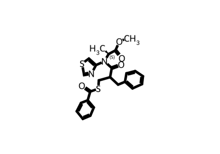 COC(=O)[C@H](C)N(C(=O)C(CSC(=O)c1ccccc1)Cc1ccccc1)c1cscn1